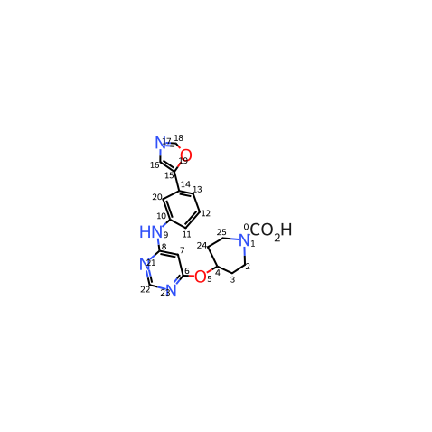 O=C(O)N1CCC(Oc2cc(Nc3cccc(-c4cnco4)c3)ncn2)CC1